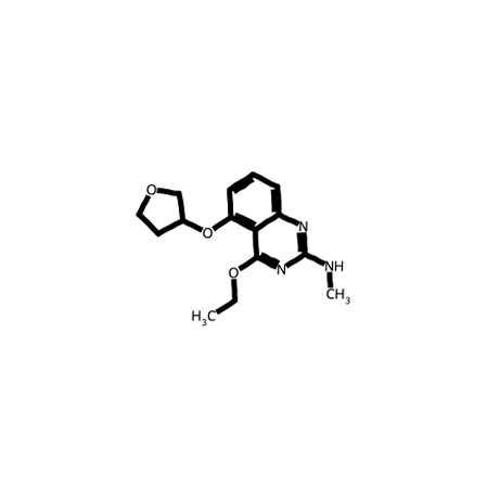 CCOc1nc(NC)nc2cccc(OC3CCOC3)c12